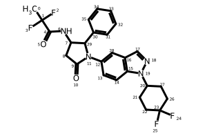 CC(F)(F)C(=O)NC1CC(=O)N(c2ccc3c(cnn3C3CCC(F)(F)CC3)c2)C1c1ccccc1